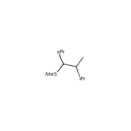 CCCC(SC)C(C)C(C)C